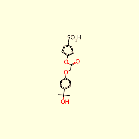 CC(C)(O)c1ccc(OCC(=O)Oc2ccc(S(=O)(=O)O)cc2)cc1